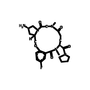 CN1CC(=O)N2C[C@H](N)C[C@H]2COc2ccc(F)cc2C(=O)N(C)[C@H](C(=O)N2CCCC2)CCC1=O